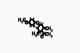 COc1ccc(Oc2cc(C)c(C(C)=O)c(C)c2)cc1